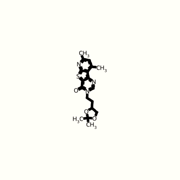 Cc1cc(C)c2c(n1)sc1c(=O)n(CCC3COC(C)(C)O3)cnc12